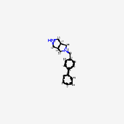 c1ccc(-c2ccc(CN3CC4CNCC4C3)cc2)cc1